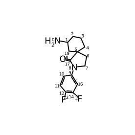 NC1CCCC2(CCN(c3ccc(F)c(F)c3)C2=O)C1